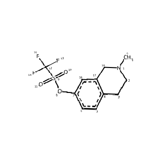 CN1CCc2ccc(OS(=O)(=O)C(F)(F)F)cc2C1